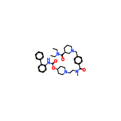 CCN(CC)C(=O)[C@H]1CCCN(Cc2ccc(C(=O)N(C)CCN3CCC(OC(=O)Nc4ccccc4-c4ccccc4)CC3)cc2)C1